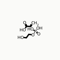 C=CC(=O)O.O=P(O)(O)OCCO